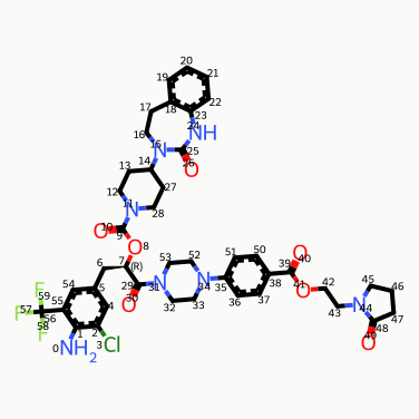 Nc1c(Cl)cc(C[C@@H](OC(=O)N2CCC(N3CCc4ccccc4NC3=O)CC2)C(=O)N2CCN(c3ccc(C(=O)OCCN4CCCC4=O)cc3)CC2)cc1C(F)(F)F